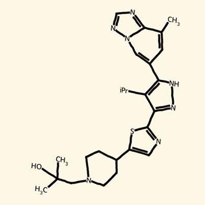 Cc1cc(-c2[nH]nc(-c3ncc(C4CCN(CC(C)(C)O)CC4)s3)c2C(C)C)cn2ncnc12